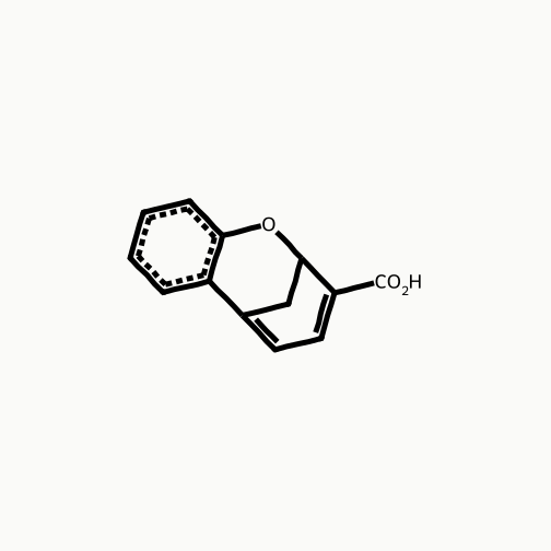 O=C(O)C1=CC=C2CC1Oc1ccccc12